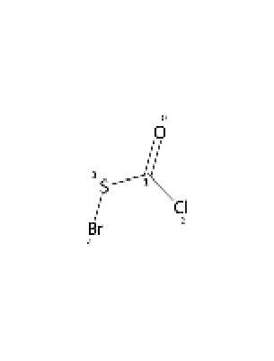 O=C(Cl)SBr